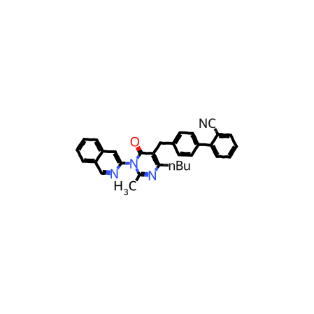 CCCCc1nc(C)n(-c2cc3ccccc3cn2)c(=O)c1Cc1ccc(-c2ccccc2C#N)cc1